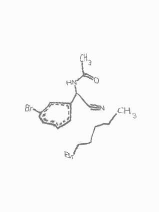 CC(=O)NC(C#N)c1cccc(Br)c1.CCCCCBr